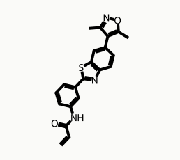 C=CC(=O)Nc1cccc(-c2nc3ccc(-c4c(C)noc4C)cc3s2)c1